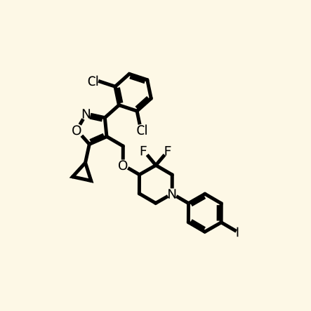 FC1(F)CN(c2ccc(I)cc2)CCC1OCc1c(-c2c(Cl)cccc2Cl)noc1C1CC1